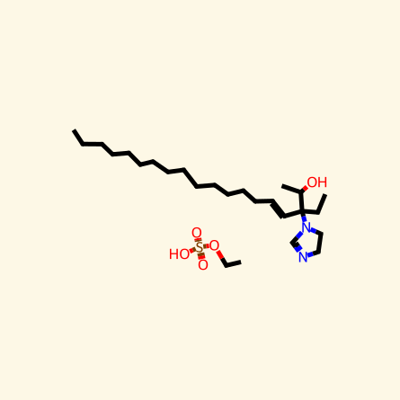 CCCCCCCCCCCCCCC=CC(CC)(C(C)O)N1C=NCC1.CCOS(=O)(=O)O